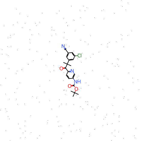 CC(C)(C)OC(=O)Nc1ccc(C(=O)C(C)(C)c2cc(Cl)cc(C#N)c2)nc1